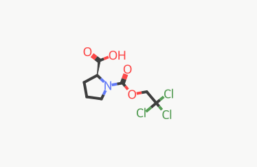 O=C(O)[C@@H]1CCCN1C(=O)OCC(Cl)(Cl)Cl